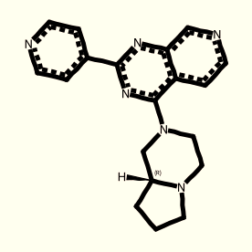 c1cc(-c2nc(N3CCN4CCC[C@@H]4C3)c3ccncc3n2)ccn1